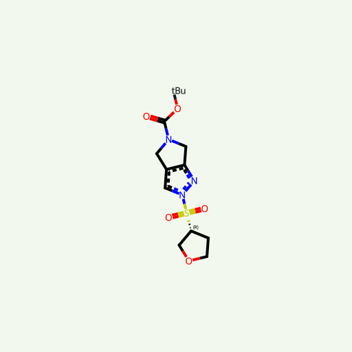 CC(C)(C)OC(=O)N1Cc2cn(S(=O)(=O)[C@@H]3CCOC3)nc2C1